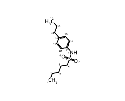 CCCCCS(=O)(=O)Nc1ccc(CCC)cc1